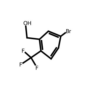 OCc1cc(Br)ccc1C(F)(F)F